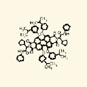 CC(C)c1cccc(Oc2cc3c4c(cc(Oc5cccc(C(C)C)c5)c5c6c(Oc7cccc(C(C)C)c7)cc7c8c(cc(Oc9cccc(C(C)C)c9)c(c2c45)c86)C(=O)N(C(C(=O)Nc2ccccc2)C2CCCC2)C7=O)C(=O)N(C(C(=O)Nc2ccccc2)C2CCCC2)C3=O)c1